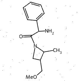 COCC1CN(C(=O)C(N)c2ccccc2)C1C